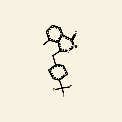 Cc1cccc2c(=O)[nH]nc(Cc3ccc(C(F)(F)F)cc3)c12